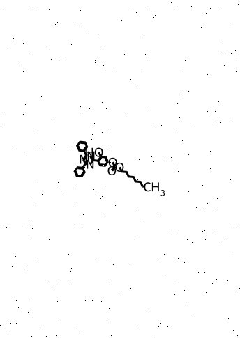 CCCCCCCCOC(=O)Oc1ccc(-c2nc(-c3ccccc3)nc(-c3ccccc3)n2)c(O)c1